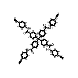 C#Cc1ccc(NC(=O)c2ccc(C(c3ccc(C(=O)Nc4ccc(C#C)cc4)cc3)(c3ccc(C(=O)Nc4ccc(C#C)cc4)cc3)c3ccc(C(=O)Nc4ccc(C#C)cc4)cc3)cc2)cc1